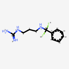 N=C(N)NCCCNC(F)(F)c1ccccc1